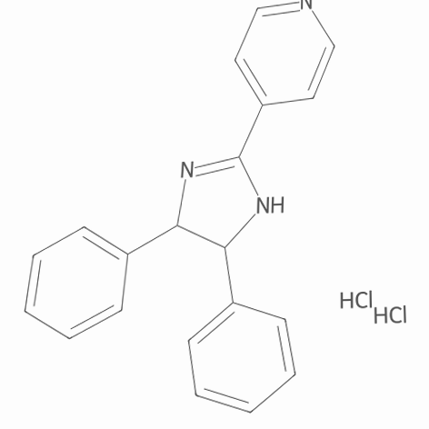 Cl.Cl.c1ccc(C2N=C(c3ccncc3)NC2c2ccccc2)cc1